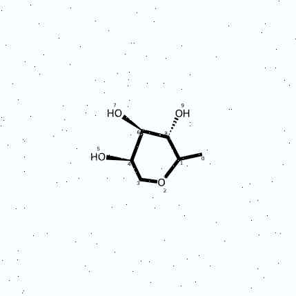 CC1OC[C@@H](O)[C@@H](O)[C@@H]1O